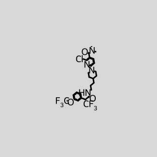 CN(C)C(=O)c1ccc(N2CCC(CCCNC(=O)C(c3cccc(OC(F)(F)F)c3)C(F)(F)F)CC2)nc1Cl